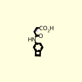 O=C(O)/C=C\C(=O)Nc1ccc2c(c1)C=C2